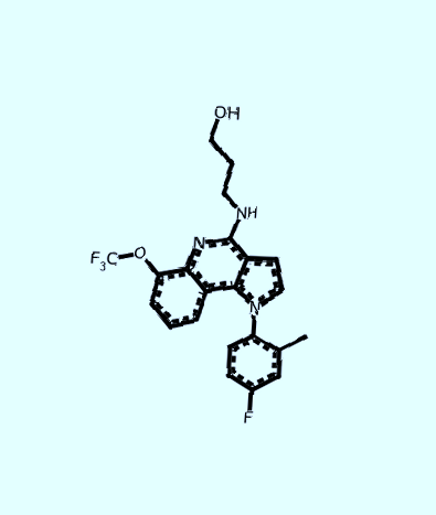 Cc1cc(F)ccc1-n1ccc2c(NCCCO)nc3c(OC(F)(F)F)cccc3c21